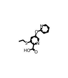 CCSc1cc(Oc2ccccn2)cnc1C(=O)O